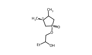 CCC(O)COP1(=O)CC(C)[C@H](C)C1